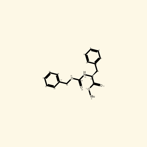 CC(C)(C)OC(=O)[C@H](Cc1ccccc1)NC(=O)OCc1ccccc1